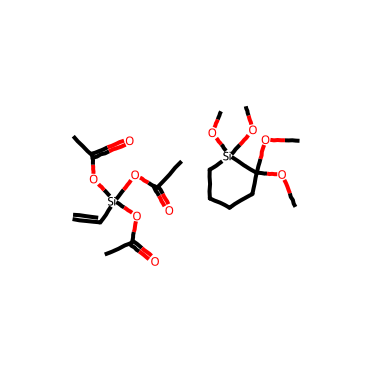 C=C[Si](OC(C)=O)(OC(C)=O)OC(C)=O.COC1(OC)CCCC[Si]1(OC)OC